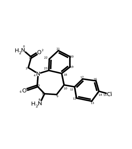 NC(=O)CN1C(=O)C(N)CC(c2ccc(Cl)cc2)c2ccccc21